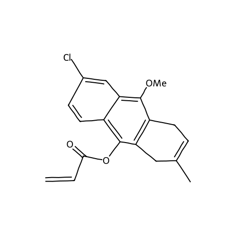 C=CC(=O)Oc1c2c(c(OC)c3cc(Cl)ccc13)CC=C(C)C2